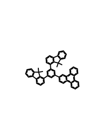 CC1(C)c2ccccc2-c2cccc(-c3cc(-c4ccc5c6ccccc6c6ccccc6c5c4)cc(-c4cccc5c4C(C)(C)c4ccccc4-5)c3)c21